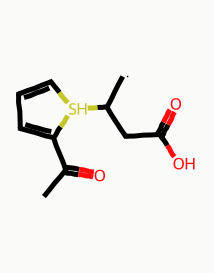 [CH2]C(CC(=O)O)[SH]1C=CC=C1C(C)=O